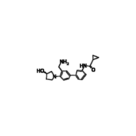 NCc1cc(-c2cccc(NC(=O)C3CC3)c2)ccc1N1CC[C@@H](O)C1